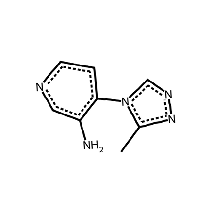 Cc1nncn1-c1ccncc1N